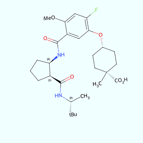 COc1cc(F)c(O[C@H]2CC[C@@](C)(C(=O)O)CC2)cc1C(=O)N[C@@H]1CCC[C@@H]1C(=O)N[C@H](C)C(C)(C)C